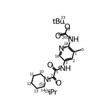 Cc1cc(NC(=O)C(=O)N2CCCC[C@H]2C(C)C)cnc1NC(=O)OC(C)(C)C